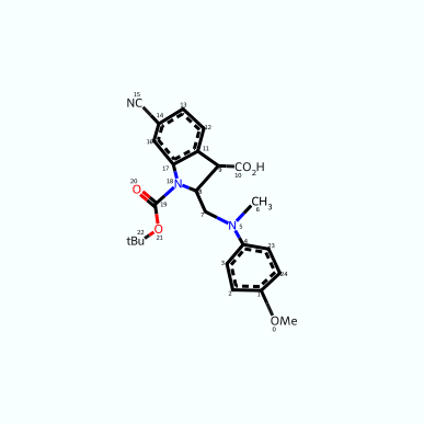 COc1ccc(N(C)CC2C(C(=O)O)c3ccc(C#N)cc3N2C(=O)OC(C)(C)C)cc1